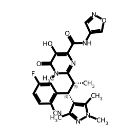 Cc1nn(C)c(C)c1[C@H](c1cc(F)ccc1C#N)[C@@H](C)c1nc(C(=O)Nc2cnoc2)c(O)c(=O)n1C